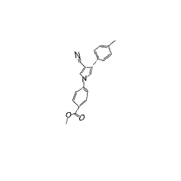 COC(=O)c1ccc(-n2cc(C#N)c(-c3ccc(C)cc3)c2)cc1